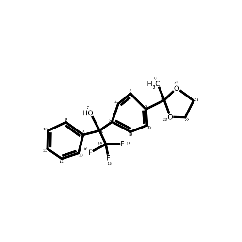 CC1(c2ccc(C(O)(c3ccccc3)C(F)(F)F)cc2)OCCO1